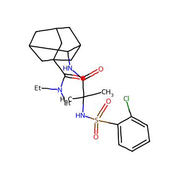 CCN(CC)C(=O)C12CC3CC(C1)C(NC(=O)C(C)(C)NS(=O)(=O)c1ccccc1Cl)C(C3)C2